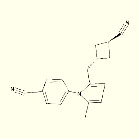 Cc1ccc(C[C@H]2C[C@H](C#N)C2)n1-c1ccc(C#N)cc1